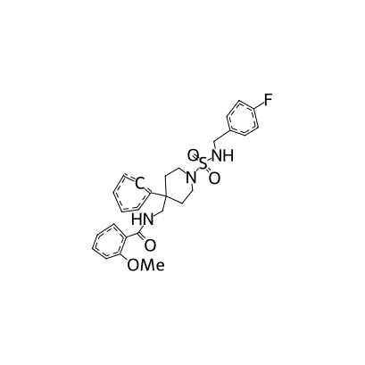 COc1ccccc1C(=O)NCC1(c2ccccc2)CCN(S(=O)(=O)NCc2ccc(F)cc2)CC1